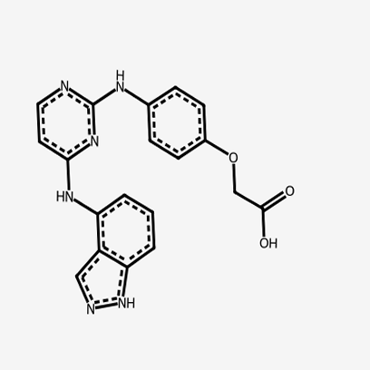 O=C(O)COc1ccc(Nc2nccc(Nc3cccc4[nH]ncc34)n2)cc1